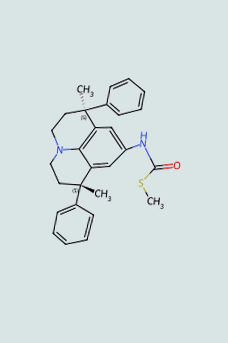 CSC(=O)Nc1cc2c3c(c1)[C@](C)(c1ccccc1)CCN3CC[C@@]2(C)c1ccccc1